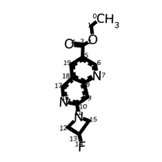 CCOC(=O)c1cnc2cc(N3CC(F)C3)ncc2c1